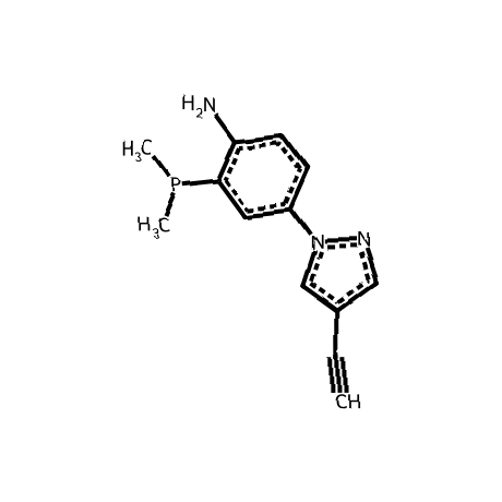 C#Cc1cnn(-c2ccc(N)c(P(C)C)c2)c1